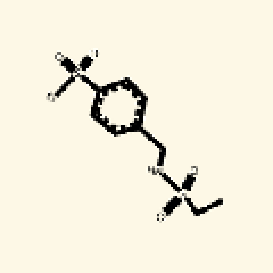 CCS(=O)(=O)NCc1ccc(S(=O)(=O)Cl)cc1